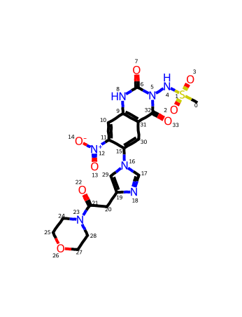 CS(=O)(=O)Nn1c(=O)[nH]c2cc([N+](=O)[O-])c(-n3cnc(CC(=O)N4CCOCC4)c3)cc2c1=O